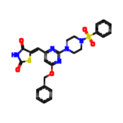 O=C1NC(=O)/C(=C/c2cc(OCc3ccccc3)nc(N3CCN(S(=O)(=O)c4ccccc4)CC3)n2)S1